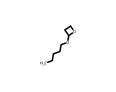 CCCCCOC1CCO1